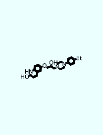 CCc1ccc(N2CCN(C[C@H](O)COc3ccc4c(c3)C=CC(O)N4)CC2)cc1